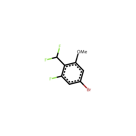 COc1cc(Br)cc(F)c1C(F)F